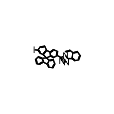 Ic1ccc2c(c1)C1(c3ccccc3-c3ccccc31)c1cc(-c3nnc4c5ccccc5ccn34)ccc1-2